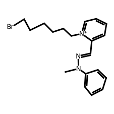 CN(/N=C/c1cccc[n+]1CCCCCCBr)c1ccccc1